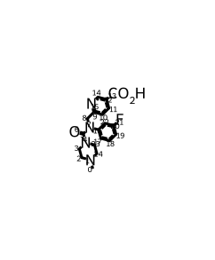 CN1CCN(C(=O)N(Cc2ccc(C(=O)O)cn2)c2cccc(F)c2)CC1